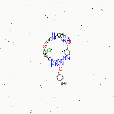 CC(C)c1ccc(COc2nc3nc(n2)Nc2ccc(cc2)C(=O)NCC(C)(C)CNCCCOc2ccc(cc2Cl)CN3)cc1